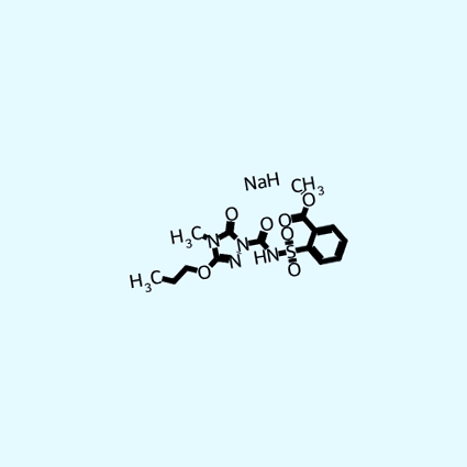 CCCOc1nn(C(=O)NS(=O)(=O)c2ccccc2C(=O)OC)c(=O)n1C.[NaH]